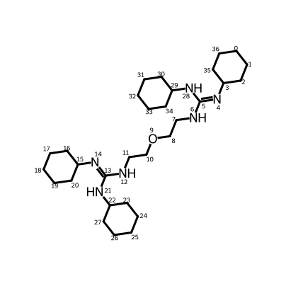 C1CCC(N=C(NCCOCCNC(=NC2CCCCC2)NC2CCCCC2)NC2CCCCC2)CC1